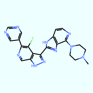 CN1CCN(c2nccc3[nH]c(-c4n[nH]c5cnc(-c6cncnc6)c(F)c45)nc23)CC1